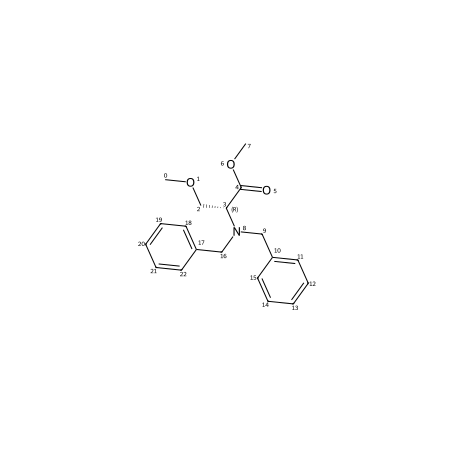 COC[C@H](C(=O)OC)N(Cc1ccccc1)Cc1ccccc1